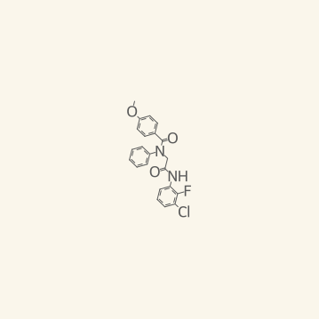 COc1ccc(C(=O)N(CC(=O)Nc2cccc(Cl)c2F)c2ccccc2)cc1